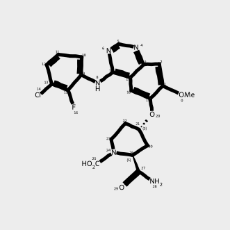 COc1cc2ncnc(Nc3cccc(Cl)c3F)c2cc1O[C@H]1CCN(C(=O)O)[C@H](C(N)=O)C1